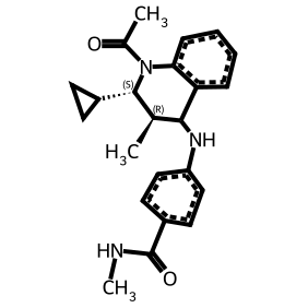 CNC(=O)c1ccc(NC2c3ccccc3N(C(C)=O)[C@@H](C3CC3)[C@@H]2C)cc1